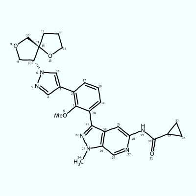 COc1c(-c2cnn([C@@H]3COC[C@]34CCCO4)c2)cccc1-c1nn(C)c2cnc(NC(=O)C3CC3)cc12